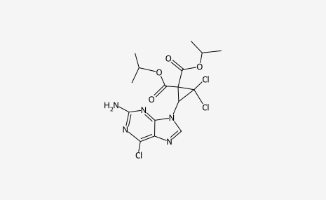 CC(C)OC(=O)C1(C(=O)OC(C)C)C(n2cnc3c(Cl)nc(N)nc32)C1(Cl)Cl